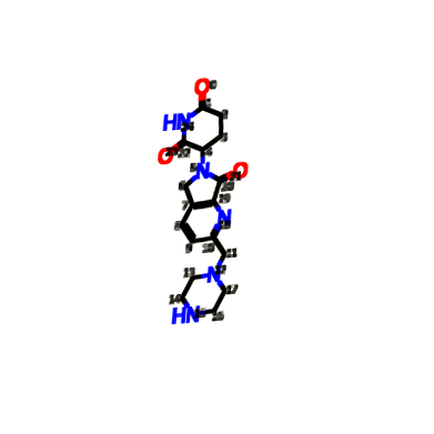 O=C1CCC(N2Cc3ccc(CN4CCNCC4)nc3C2=O)C(=O)N1